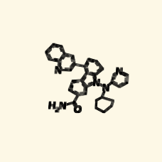 NC(=O)c1ccc2c3c(-c4cnc5ccccc5c4)cccc3n(N(c3cccnc3)C3CCCCC3)c2c1